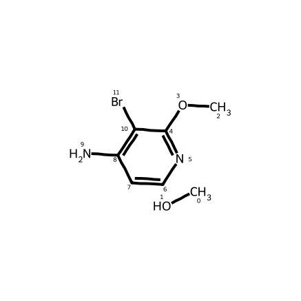 CO.COc1nccc(N)c1Br